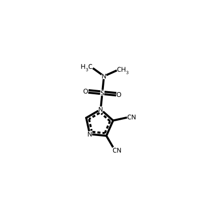 CN(C)S(=O)(=O)n1cnc(C#N)c1C#N